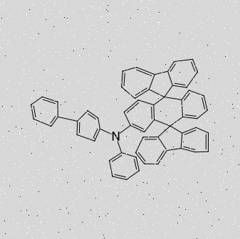 c1ccc(-c2ccc(N(c3ccccc3)c3ccc4c(c3)C3(c5ccccc5-c5ccccc53)c3ccccc3C43c4ccccc4-c4ccccc43)cc2)cc1